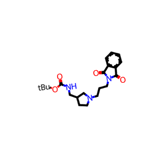 CC(C)(C)OC(=O)NCC1CCN(CCCN2C(=O)c3ccccc3C2=O)C1